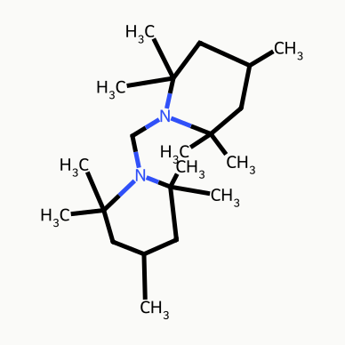 CC1CC(C)(C)N(CN2C(C)(C)CC(C)CC2(C)C)C(C)(C)C1